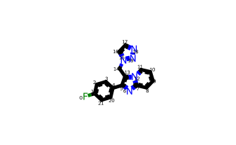 Fc1ccc(-c2nc3ccccn3c2Cn2ccnn2)cc1